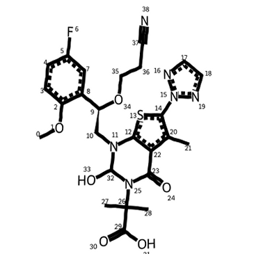 COc1ccc(F)cc1[C@H](CN1c2sc(-n3nccn3)c(C)c2C(=O)N(C(C)(C)C(=O)O)C1O)OCCC#N